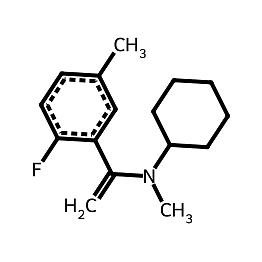 C=C(c1cc(C)ccc1F)N(C)C1CCCCC1